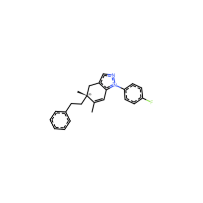 CC1=Cc2c(cnn2-c2ccc(F)cc2)C[C@@]1(C)CCc1ccccc1